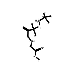 C=C(CNCC(=O)OC)C(C)(C)O[SiH2]C(C)(C)C